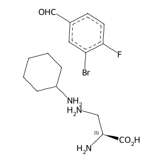 NC1CCCCC1.NC[C@H](N)C(=O)O.O=Cc1ccc(F)c(Br)c1